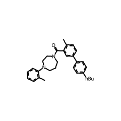 CCCCc1ccc(-c2ccc(C)c(C(=O)N3CCCN(c4ccccc4C)CC3)c2)cc1